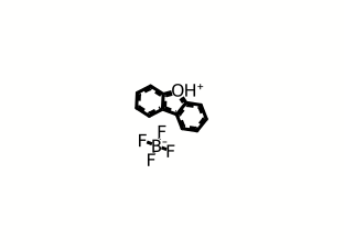 F[B-](F)(F)F.c1ccc2c(c1)[oH+]c1ccccc12